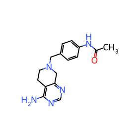 CC(=O)Nc1ccc(CN2CCc3c(N)ncnc3C2)cc1